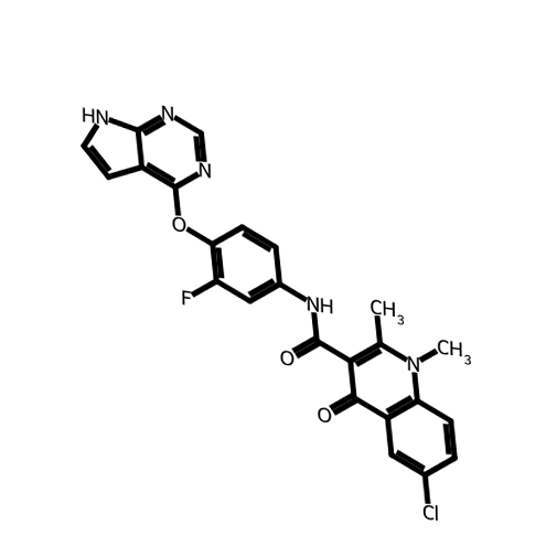 Cc1c(C(=O)Nc2ccc(Oc3ncnc4[nH]ccc34)c(F)c2)c(=O)c2cc(Cl)ccc2n1C